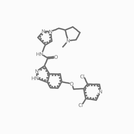 CN1CCCC1Cn1cc(NC(=O)c2n[nH]c3ccc(OCc4c(Cl)cncc4Cl)cc23)cn1